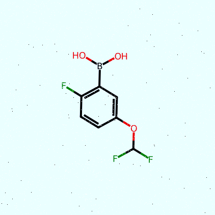 OB(O)c1cc(OC(F)F)ccc1F